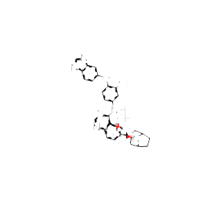 Cc1cc(Nc2ncnc3ccc(N4CC5CCC(C4)N5C(=O)OC(C)(C)C)nc23)ccc1Oc1ccc2c(c1)ncn2C